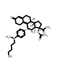 CC(=O)O[C@]1(C(C)=O)CC[C@H]2[C@@H]3CCC4=CC(=O)CCC4=C3[C@@H](c3ccc(N(C)CCCCO)cc3)C[C@@]21C